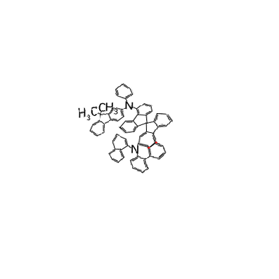 CC1(C)c2ccccc2-c2ccc(N(c3ccccc3)c3cccc4c3-c3ccccc3C43c4ccccc4-c4ccc(N(c5ccccc5-c5ccccc5)c5cccc6ccccc56)cc43)cc21